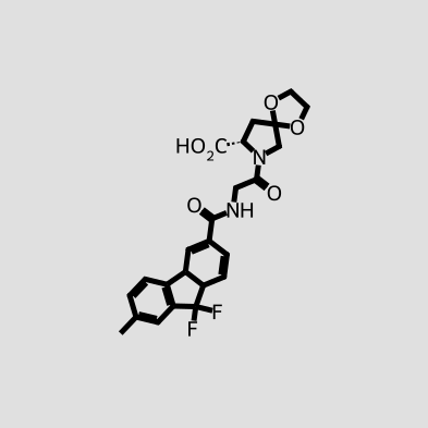 Cc1ccc2c(c1)C(F)(F)C1C=CC(C(=O)NCC(=O)N3CC4(C[C@H]3C(=O)O)OCCO4)=CC21